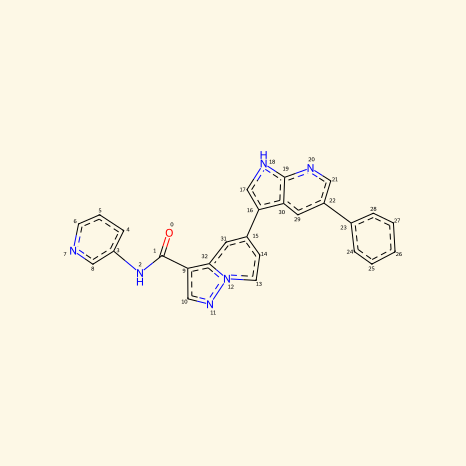 O=C(Nc1cccnc1)c1cnn2ccc(-c3c[nH]c4ncc(-c5ccccc5)cc34)cc12